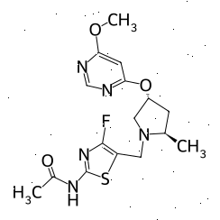 COc1cc(O[C@@H]2C[C@@H](C)N(Cc3sc(NC(C)=O)nc3F)C2)ncn1